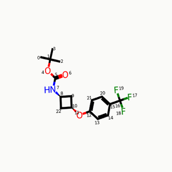 CC(C)(C)OC(=O)N[C@H]1C[C@@H](Oc2ccc(C(F)(F)F)cc2)C1